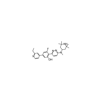 CCc1cc(-c2cc(O)c(-c3ccc(N(C)C4CC(C)(C)NC(C)(C)C4)nn3)c(F)c2)ccn1